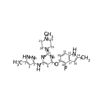 Cc1cc(Nc2cc(Oc3ccc4[nH]c(C)cc4c3F)nc(N3CCN(C)CC3)n2)n[nH]1